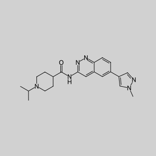 CC(C)N1CCC(C(=O)Nc2cc3cc(-c4cnn(C)c4)ccc3nn2)CC1